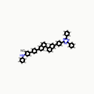 N#Cc1cc(-c2ccc(-c3ccc4c(-c5cccc6cc(-c7ccc(-c8nc(-c9ccccc9)nc(-c9ccccc9)n8)cc7)ccc56)cccc4c3)cc2)ccc1Nc1ccccc1